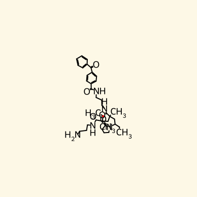 CCC(CC(C)(CC(C)(CC)C(=O)NCCCN)C(=O)NCCCNC(=O)c1ccc(C(=O)c2ccccc2)cc1)N1CCCC1=O